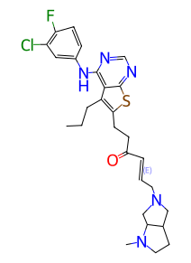 CCCc1c(CCC(=O)/C=C/CN2CC3CCN(C)C3C2)sc2ncnc(Nc3ccc(F)c(Cl)c3)c12